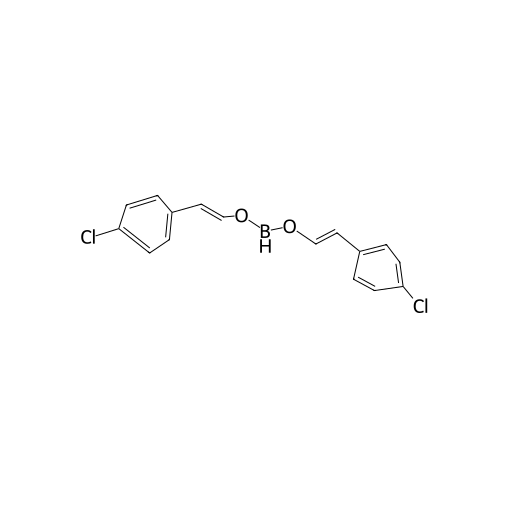 Clc1ccc(C=COBOC=Cc2ccc(Cl)cc2)cc1